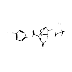 CCC(C)(C)C(=O)OC1C2CC3C1OC(=O)C3C2C(=O)Oc1ccc(S(=O)(=O)O)cc1